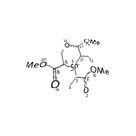 COC(=O)[CH](C)[Sn]([CH](C)C(=O)OC)[CH](C)C(=O)OC